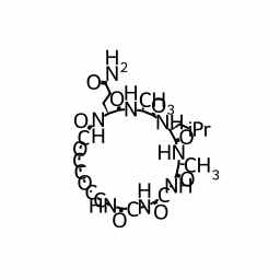 CC(C)C[C@@H]1NC(=O)[C@H](C)NC(=O)[C@H](CCC(N)=O)NC(=O)COCCOCCNC(=O)CNC(=O)CNC(=O)[C@H](C)NC1=O